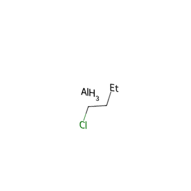 CCCCCl.[AlH3]